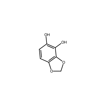 Oc1ccc2c(c1O)OCO2